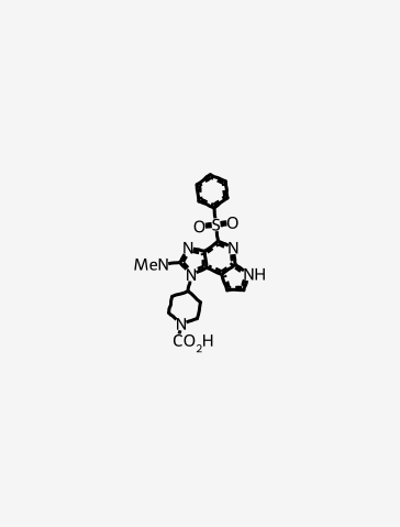 CNc1nc2c(S(=O)(=O)c3ccccc3)nc3[nH]ccc3c2n1C1CCN(C(=O)O)CC1